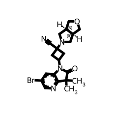 CC1(C)C(=O)N(C2CC(C#N)(N3C[C@H]4COC[C@H]4C3)C2)c2cc(Br)cnc21